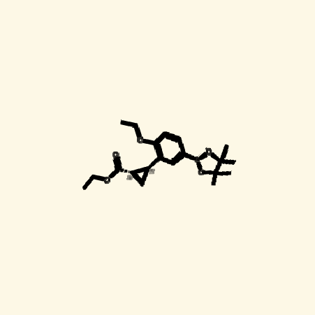 CCOC(=O)[C@H]1C[C@@H]1c1cc(B2OC(C)(C)C(C)(C)O2)ccc1OCC